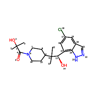 CC(C)(O)C(=O)N1CCC(C(C)(C)[C@H](O)c2cc(Cl)cc3cn[nH]c23)CC1